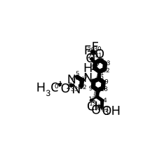 CCOc1ncc(Nc2cc([C@H](CC)CC(=O)O)ccc2-c2ccc3c(c2)OC(F)(F)O3)cn1